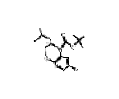 CC(C)C[C@H]1COc2ncc(Br)cc2N1C(=O)OC(C)(C)C